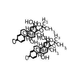 CC1(C)O[C@@H]2C[C@H]3[C@@H]4CCC5=CC(=O)C=C[C@]5(C)[C@H]4[C@@H](O)C[C@]3(C)[C@]2(C(=O)CO)O1.CC1(C)O[C@@H]2C[C@H]3[C@@H]4CCC5=CC(=O)C=C[C@]5(C)[C@H]4[C@@H](O)C[C@]3(C)[C@]2(C(=O)CO)O1